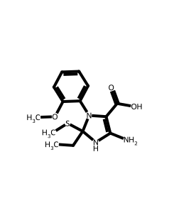 CCC1(SC)NC(N)=C(C(=O)O)N1c1ccccc1OC